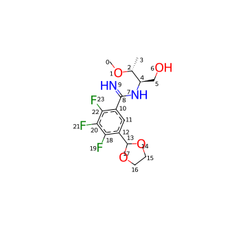 CO[C@H](C)[C@@H](CO)NC(=N)c1cc(C2OCCO2)c(F)c(F)c1F